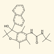 Cc1c(C)c2c(c(C)c1NC(=O)NC(C)(C)C)C(O)(c1ccc3ccccc3c1)C(C)(C)O2